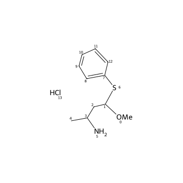 COC(CC(C)N)Sc1ccccc1.Cl